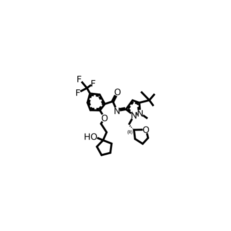 Cn1c(C(C)(C)C)cc(=NC(=O)c2cc(C(F)(F)F)ccc2OCCC2(O)CCCC2)n1C[C@H]1CCCO1